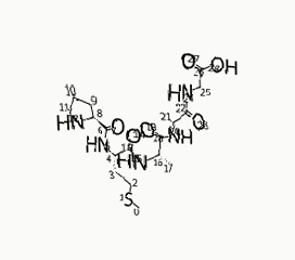 CSCC[C@H](NC(=O)[C@@H]1CCCN1)C(=O)N[C@@H](C)C(=O)NCC(=O)NCC(=O)O